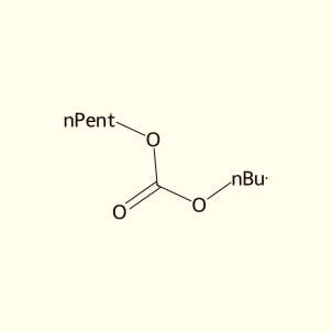 CCC[CH]OC(=O)OCCCCC